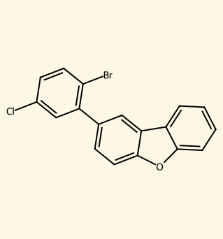 Clc1ccc(Br)c(-c2ccc3oc4ccccc4c3c2)c1